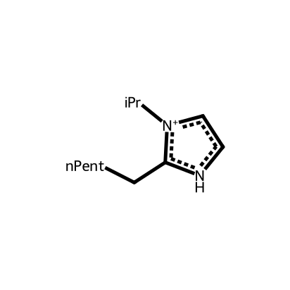 CCCCCCc1[nH]cc[n+]1C(C)C